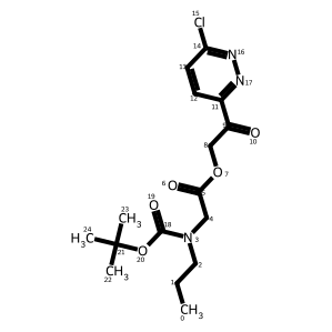 CCCN(CC(=O)OCC(=O)c1ccc(Cl)nn1)C(=O)OC(C)(C)C